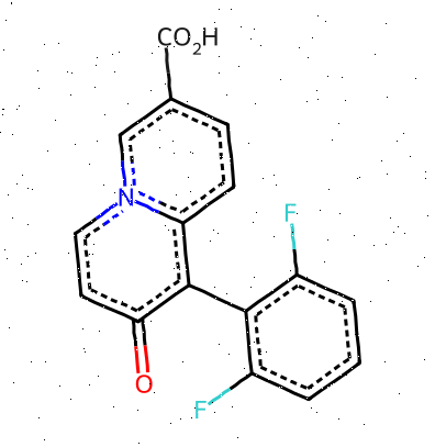 O=C(O)c1ccc2c(-c3c(F)cccc3F)c(=O)ccn2c1